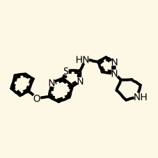 c1ccc(Oc2ccc3nc(Nc4cnn(C5CCNCC5)c4)sc3n2)cc1